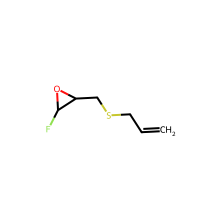 C=CCSCC1OC1F